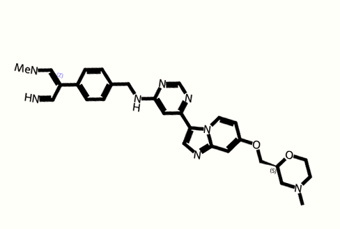 CN/C=C(\C=N)c1ccc(CNc2cc(-c3cnc4cc(OC[C@@H]5CN(C)CCO5)ccn34)ncn2)cc1